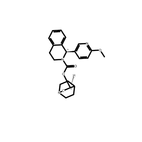 COc1ccc([C@@H]2c3ccccc3CCN2C(=O)O[C@@H]2CN3CCC2CC3)cn1